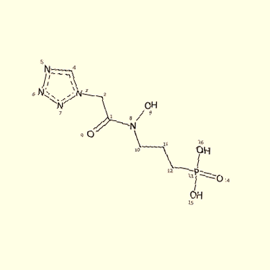 O=C(Cn1cnnn1)N(O)CCCP(=O)(O)O